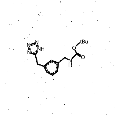 CC(C)(C)OC(=O)NCc1cccc(Cc2nnn[nH]2)c1